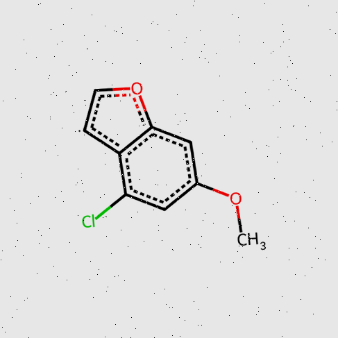 COc1cc(Cl)c2[c]coc2c1